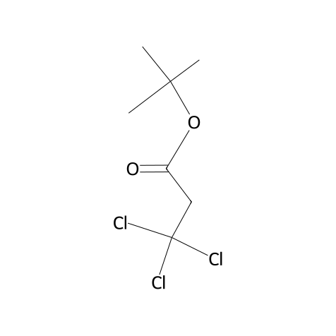 CC(C)(C)OC(=O)CC(Cl)(Cl)Cl